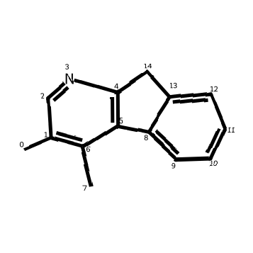 Cc1cnc2c(c1C)-c1ccccc1C2